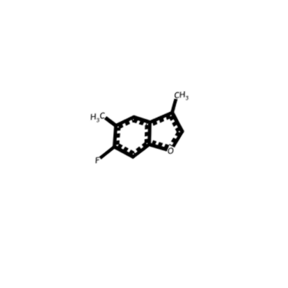 Cc1cc2c(C)coc2cc1F